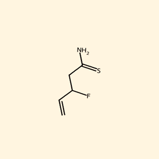 C=CC(F)CC(N)=S